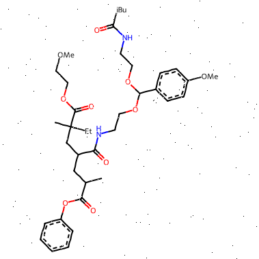 CCC(C)C(=O)NCCOC(OCCNC(=O)C(CC(C)C(=O)Oc1ccccc1)CC(C)(CC)C(=O)OCCOC)c1ccc(OC)cc1